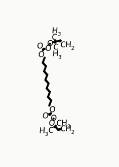 C=CC(C)(C)OOC(=O)OCCCCCCCCCCCCOC(=O)OOC(C)(C)C=C